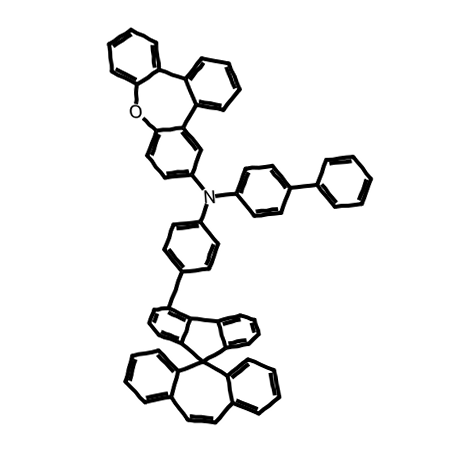 C1=Cc2ccccc2C2(c3ccccc31)c1ccccc1-c1c(-c3ccc(N(c4ccc(-c5ccccc5)cc4)c4ccc5c(c4)-c4ccccc4-c4ccccc4O5)cc3)cccc12